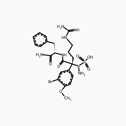 COc1ccc([C@](CCCNC(=N)N)(C(=O)N[C@@H](Cc2ccccc2)C(N)=O)N(N)S(=O)(=O)O)cc1Br